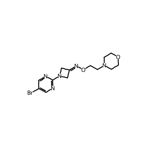 Brc1cnc(N2CC(=NOCCN3CCOCC3)C2)nc1